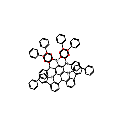 c1ccc(-c2ccc(N(c3ccc(-c4ccccc4)cc3)c3c(N(c4ccc(-c5ccccc5)cc4)c4ccc(-c5ccccc5)cc4)c4c5c(c3N(c3ccc(-c6ccccc6)cc3)c3ccc(-c6ccccc6)cc3)-n3c6ccccc6c6cccc(c63)C5c3cccc5c6ccccc6n-4c35)cc2)cc1